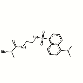 CC(C(=O)NCCNS(=O)(=O)c1cccc2c(N(C)C)cccc12)C(C)(C)C